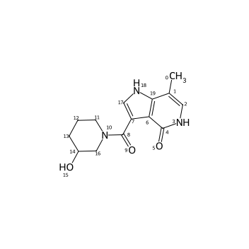 Cc1c[nH]c(=O)c2c(C(=O)N3CCCC(O)C3)c[nH]c12